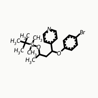 CC(CC(Oc1ccc(Br)cc1)c1ccncc1)O[Si](C)(C)C(C)(C)C